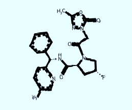 Cc1nn(CC(=O)N2C[C@H](F)C[C@H]2C(=O)N[C@@H](c2ccccc2)c2ccc(C(C)C)cn2)c(=O)o1